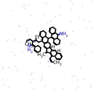 C=C1C2=CC3=C(C[C@H]2C2=C[C@H]4C=CC=CC4C(/C=C\C)=C12)C(C1=C2C=CCCC2C(N)C2=C1C=CCC2)C1CCC=CC1=C3C/C(CC)=C(/C=C\C)C(\N)=C1\C=CCCC1